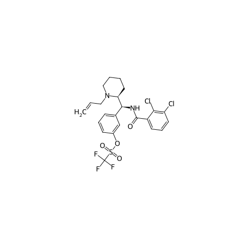 C=CCN1CCCC[C@H]1[C@@H](NC(=O)c1cccc(Cl)c1Cl)c1cccc(OS(=O)(=O)C(F)(F)F)c1